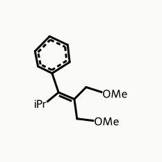 COCC(COC)=C(c1ccccc1)C(C)C